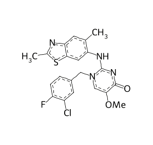 COc1cn(Cc2ccc(F)c(Cl)c2)c(Nc2cc3sc(C)nc3cc2C)nc1=O